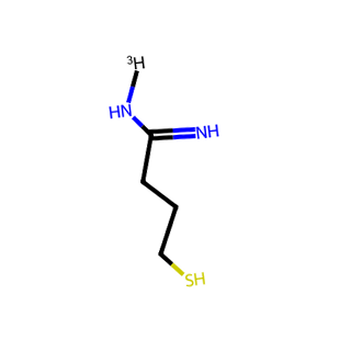 [3H]NC(=N)CCCS